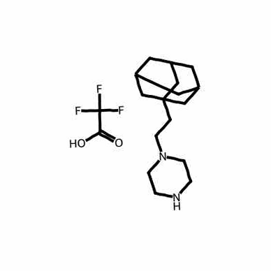 C1CN(CCC23CC4CC(CC(C4)C2)C3)CCN1.O=C(O)C(F)(F)F